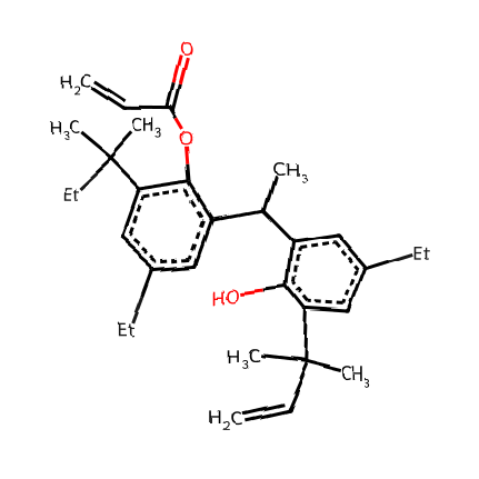 C=CC(=O)Oc1c(C(C)c2cc(CC)cc(C(C)(C)C=C)c2O)cc(CC)cc1C(C)(C)CC